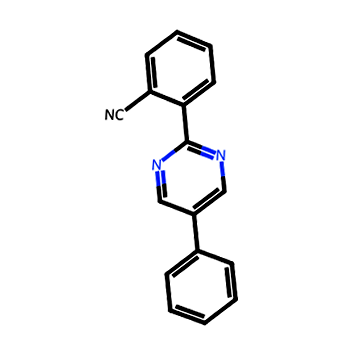 N#Cc1ccccc1-c1ncc(-c2ccccc2)cn1